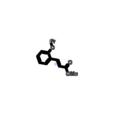 COC(=O)/C=C/c1ccccc1OC(C)C